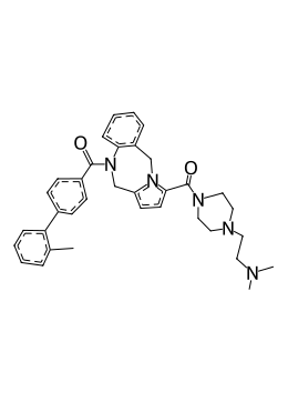 Cc1ccccc1-c1ccc(C(=O)N2Cc3ccc(C(=O)N4CCN(CCN(C)C)CC4)n3Cc3ccccc32)cc1